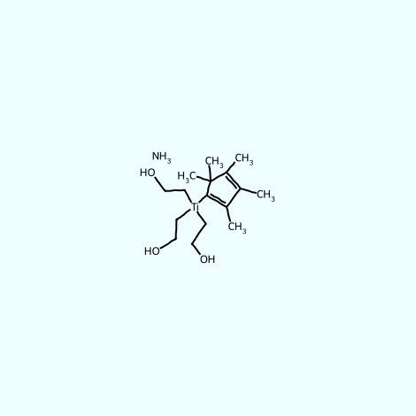 CC1=C(C)C(C)(C)[C]([Ti]([CH2]CO)([CH2]CO)[CH2]CO)=C1C.N